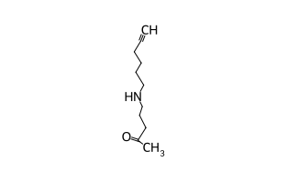 C#CCCCCNCCCC(C)=O